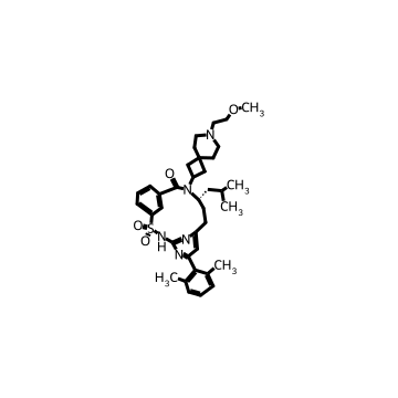 COCCN1CCC2(CC1)CC(N1C(=O)c3cccc(c3)S(=O)(=O)Nc3nc(cc(-c4c(C)cccc4C)n3)CC[C@H]1CC(C)C)C2